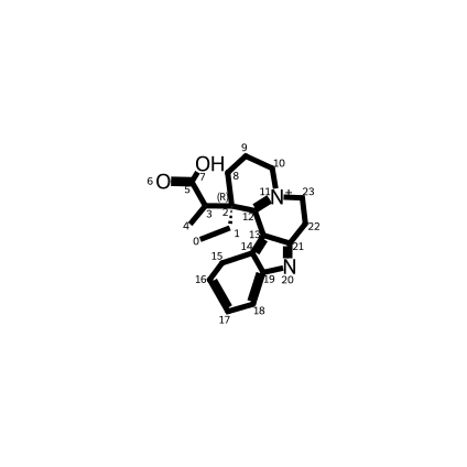 CC[C@]1(C(C)C(=O)O)CCC[N+]2=C1C1=C3CC=CC=C3N=C1CC2